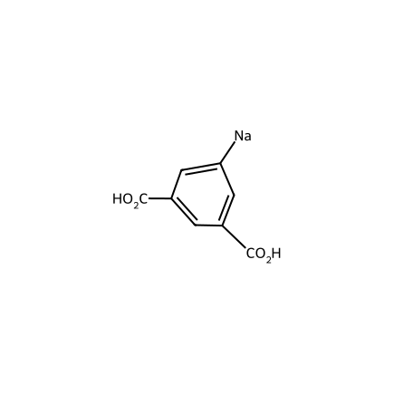 O=C(O)c1c[c]([Na])cc(C(=O)O)c1